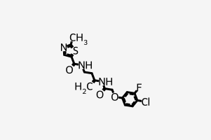 C=C(CCNC(=O)c1cnc(C)s1)NC(=O)COc1ccc(Cl)c(F)c1